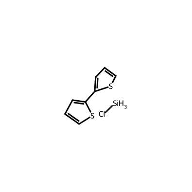 [SiH3]Cl.c1csc(-c2cccs2)c1